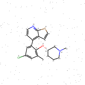 Cc1cc(Cl)cc(-c2ccnc3sccc23)c1O[C@H]1CCCN(C)C1